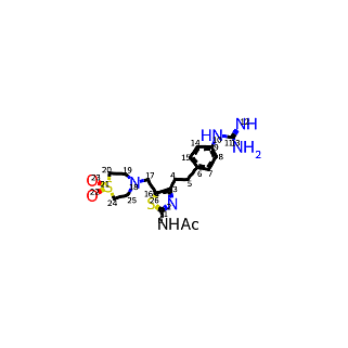 CC(=O)Nc1nc(CCc2ccc(NC(=N)N)cc2)c(CN2CCS(=O)(=O)CC2)s1